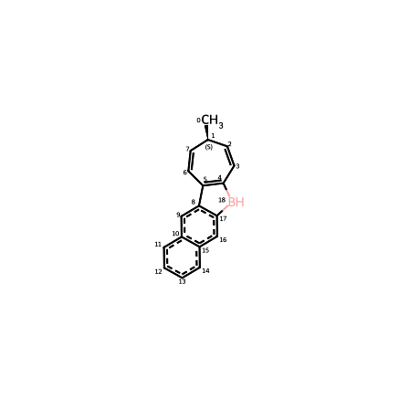 C[C@H]1C=CC2=C(C=C1)c1cc3ccccc3cc1B2